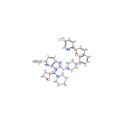 O=C(O)c1ccc2nc(CN3CCC(c4cccc5c4O[C@@H](c4ccc(Cl)cn4)C=C5)CC3)n(C([C@@H]3CCO3)N3CCCCC3)c2n1